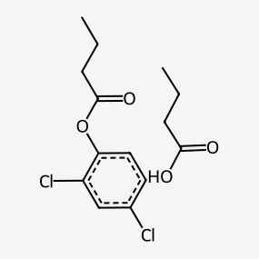 CCCC(=O)O.CCCC(=O)Oc1ccc(Cl)cc1Cl